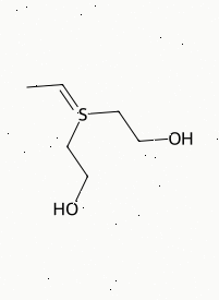 CC=S(CCO)CCO